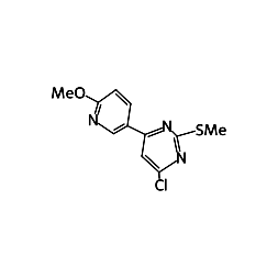 COc1ccc(-c2cc(Cl)nc(SC)n2)cn1